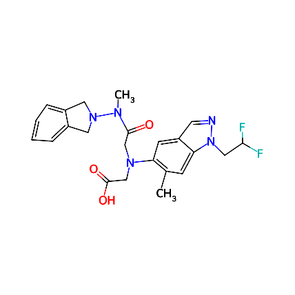 Cc1cc2c(cnn2CC(F)F)cc1N(CC(=O)O)CC(=O)N(C)N1Cc2ccccc2C1